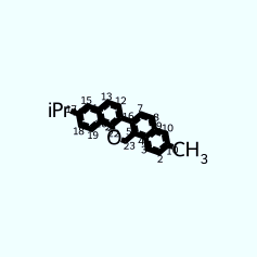 Cc1ccc2c3c(ccc2c1)-c1ccc2cc(C(C)C)ccc2c1OC3